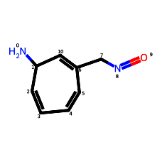 NC1C=CC=CC(CN=O)=C1